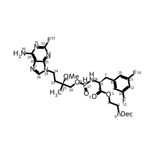 CCCCCCCCCCCCOC(=O)[C@H](Cc1cc(F)cc(F)c1)N[PH](=O)OC[C@](C)(CCn1cnc2c(N)nc(F)nc21)OC